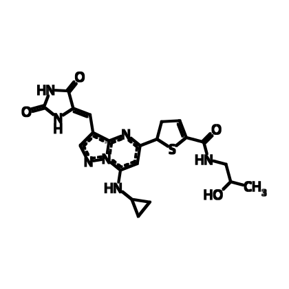 CC(O)CNC(=O)C1=CCC(c2cc(NC3CC3)n3ncc(/C=C4\NC(=O)NC4=O)c3n2)S1